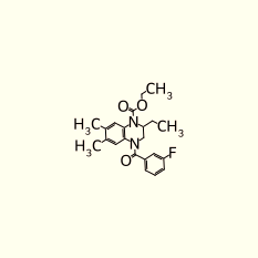 CCOC(=O)N1c2cc(C)c(C)cc2N(C(=O)c2cccc(F)c2)CC1CC